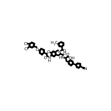 Cc1cccc(C(=O)N2Cc3cc4c(cc3CC2C(=O)NC(Cc2ccc(-c3ccc(C#N)cc3)cc2)C(=O)O)NC(=O)C(c2ccc(OCc3ccc(Cl)c(Cl)c3)cc2)O4)c1